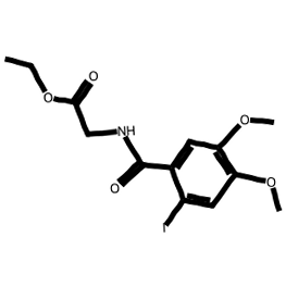 CCOC(=O)CNC(=O)c1cc(OC)c(OC)cc1I